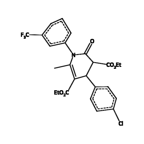 CCOC(=O)C1=C(C)N(c2cccc(C(F)(F)F)c2)C(=O)C(C(=O)OCC)C1c1ccc(Cl)cc1